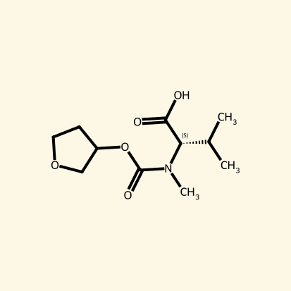 CC(C)[C@@H](C(=O)O)N(C)C(=O)OC1CCOC1